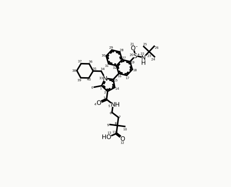 Cc1c(C(=O)NCCC(C)(C)C(=O)O)cc(-c2ccc([S+]([O-])NC(C)(C)C)c3ccccc23)n1CC1CCCCC1